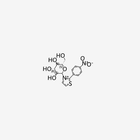 O=[N+]([O-])c1ccc(-c2scc[n+]2C2O[C@@H](CO)[C@H](O)[C@@H](O)[C@@H]2O)cc1